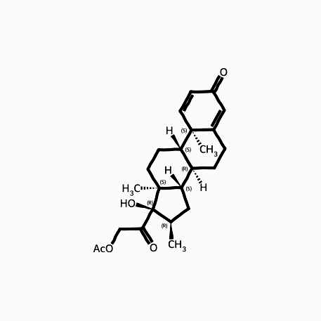 CC(=O)OCC(=O)[C@@]1(O)[C@H](C)C[C@H]2[C@@H]3CCC4=CC(=O)C=C[C@]4(C)[C@H]3CC[C@@]21C